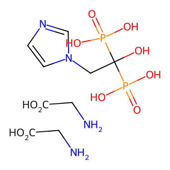 NCC(=O)O.NCC(=O)O.O=P(O)(O)C(O)(Cn1ccnc1)P(=O)(O)O